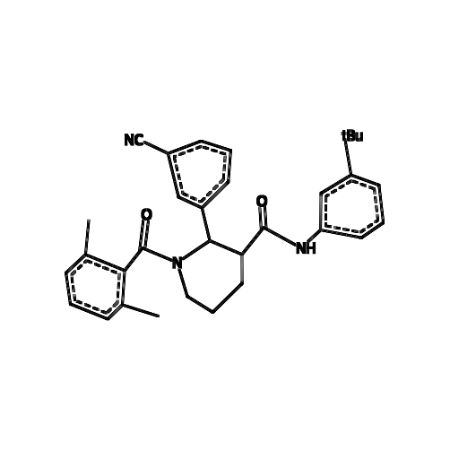 Cc1cccc(C)c1C(=O)N1CCCC(C(=O)Nc2cccc(C(C)(C)C)c2)C1c1cccc(C#N)c1